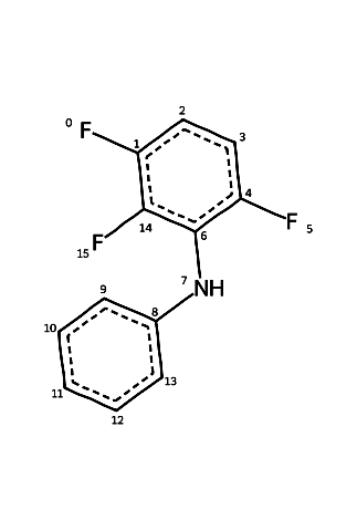 Fc1ccc(F)c(Nc2ccccc2)c1F